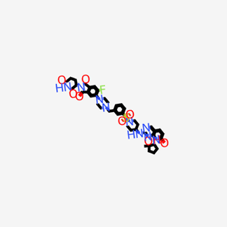 CC1(O)CCCC1n1c(=O)ccc2cnc(NC3CCN(S(=O)(=O)c4cccc(CN5CCN(c6cc7c(cc6F)C(=O)N(C6CCC(=O)NC6=O)C7=O)CC5)c4)CC3)nc21